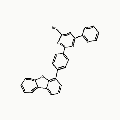 Brc1cc(-c2ccccc2)nc(-c2ccc(-c3cccc4c3oc3ccccc34)cc2)n1